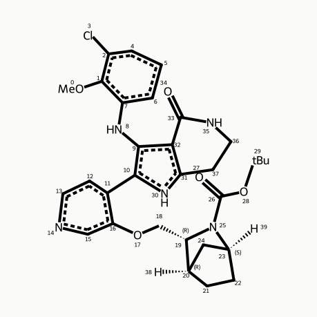 COc1c(Cl)cccc1Nc1c(-c2ccncc2OC[C@H]2[C@@H]3CC[C@@H](C3)N2C(=O)OC(C)(C)C)[nH]c2c1C(=O)NCC2